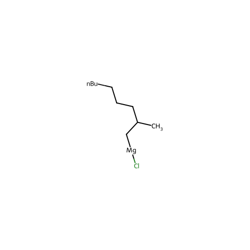 CCCCCCCC(C)[CH2][Mg][Cl]